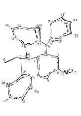 CC(Nc1ccc([N+](=O)[O-])cc1C(c1ccccc1)c1ccccc1)c1ccccn1